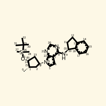 C[C@H]1C[C@@H](n2ccc3c(N[C@H]4CCc5ccccc54)ncnc32)C[C@H]1O[Si](C)(C)C(C)(C)C